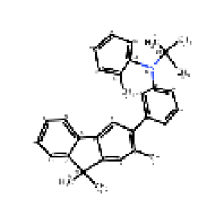 Cc1cc2c(cc1-c1cccc(N(c3ccccc3C)C(C)(C)C)c1)-c1ccccc1C2(C)C